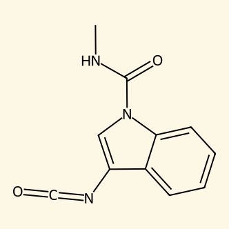 CNC(=O)n1cc(N=C=O)c2ccccc21